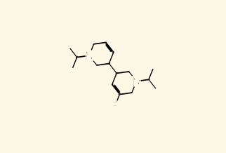 CC(C)N1CC=CC(C2C=C(F)CN(C(C)C)C2)C1